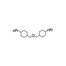 CCCC1CCC(COCC2CCC(CCC)CC2)CC1